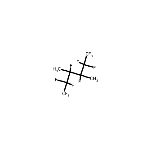 CC(F)(C(C)(F)C(F)(F)C(F)(F)F)C(F)(F)C(F)(F)F